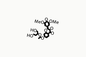 COC1=CC(=C2Oc3cc(OC(C)OC(CO)CCO)ccc3C(=O)C2=O)C=C(OC)C1=O